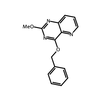 COc1nc(OCc2ccccc2)c2ncccc2n1